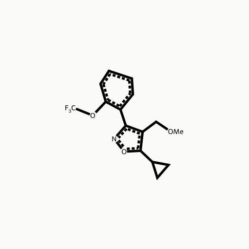 COCc1c(-c2ccccc2OC(F)(F)F)noc1C1CC1